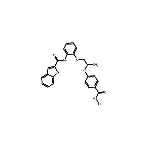 CC(COc1ccccc1NC(=O)c1cc2ccccc2o1)Oc1ccc(C(=O)NO)cc1